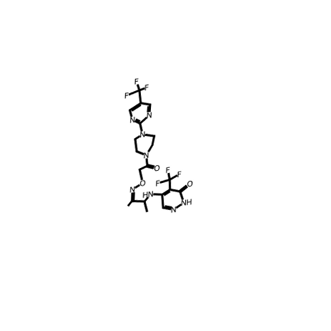 CC(=NOCC(=O)N1CCN(c2ncc(C(F)(F)F)cn2)CC1)C(C)Nc1cn[nH]c(=O)c1C(F)(F)F